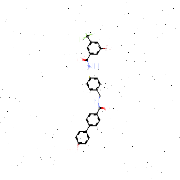 O=C(NCc1ccc(SNC(=O)c2cc(Br)cc(C(F)(F)F)c2)cc1)c1ccc(-c2ccc(O)cc2)cc1